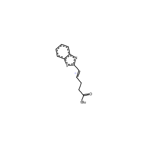 CC(C)(C)C(=O)CC/C=C/c1nc2ccccc2s1